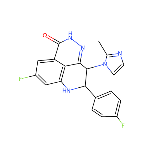 Cc1nccn1C1c2n[nH]c(=O)c3cc(F)cc(c23)NC1c1ccc(F)cc1